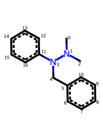 CN(C)N(Cc1ccccc1)c1ccccc1